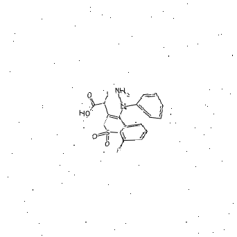 NN(C1=C(C(I)C(=O)O)CS(=O)(=O)c2c(F)cccc21)c1ccccc1